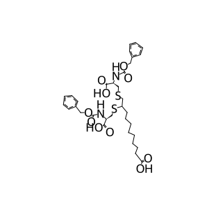 O=C(O)CCCCCCCCC(CSC[C@H](NC(=O)OCc1ccccc1)C(=O)O)SC[C@H](NC(=O)OCc1ccccc1)C(=O)O